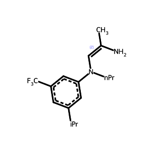 CCCN(/C=C(/C)N)c1cc(C(C)C)cc(C(F)(F)F)c1